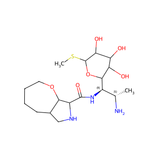 CSC1OC([C@H](NC(=O)C2NCC3CCCCOC32)[C@H](C)N)C(O)C(O)C1O